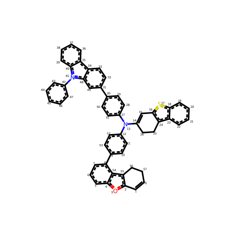 C1=Cc2oc3cccc(-c4ccc(N(C5=Cc6sc7ccccc7c6CC5)c5ccc(-c6ccc7c8ccccc8n(-c8ccccc8)c7c6)cc5)cc4)c3c2CC1